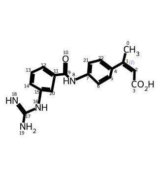 C/C(=C/C(=O)O)c1ccc(NC(=O)c2cccc(NC(=N)N)c2)cc1